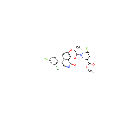 COC(=O)[C@H]1CN(C(=O)[C@@H](C)Oc2ccc3c(-c4ccc(F)cc4Cl)c[nH]c(=O)c3c2)CC(F)(F)C1